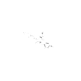 COC(=O)CCNC(=O)[C@H](Cc1ccc([N+](=O)[O-])cc1)NC(=O)OC(C)(C)C